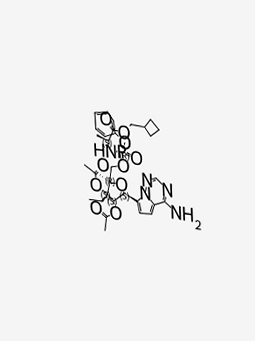 CC[C@]1(OC(C)=O)[C@@H](OC(C)=O)[C@H](c2ccc3c(N)ncnn23)O[C@]1(C)CO[P@](=O)(N[C@@H](C)C(=O)OCC1CCC1)Oc1ccccc1